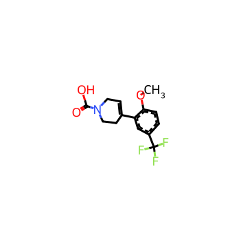 COc1ccc(C(F)(F)F)cc1C1=CCN(C(=O)O)CC1